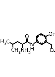 CC(C)CC(N)C(=O)Nc1ccc(O)c(COC=O)c1